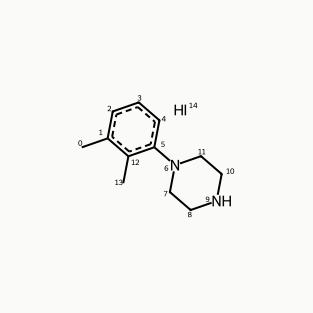 Cc1cccc(N2CCNCC2)c1C.I